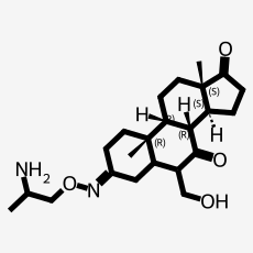 CC(N)CON=C1CC[C@@]2(C)C(C1)C(CO)C(=O)[C@@H]1[C@H]2CC[C@]2(C)C(=O)CC[C@@H]12